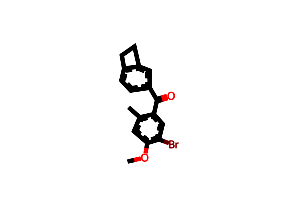 COc1cc(C)c(C(=O)c2ccc3c(c2)CC3)cc1Br